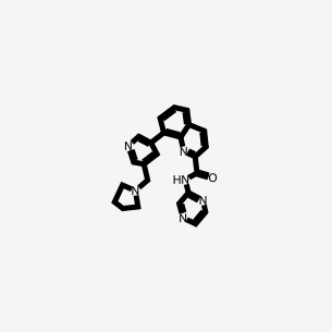 O=C(Nc1cnccn1)c1ccc2cccc(-c3cncc(CN4CCCC4)c3)c2n1